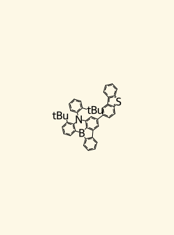 CC(C)(C)c1ccccc1N1c2cc(-c3ccc4sc5ccccc5c4c3)cc3c2B(c2ccccc2-3)c2cccc(C(C)(C)C)c21